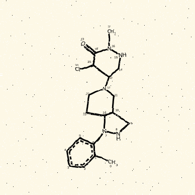 Cc1ccccc1N1NCC2CN(C3CNN(C)C(=O)C3Cl)CCC21